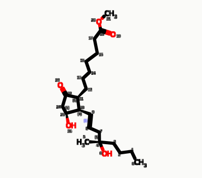 CCCC[C@](C)(O)C/C=C/[C@@H]1[C@H](CCCCCCC(=O)OC)C(=O)C[C@@H]1O